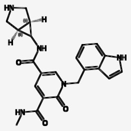 CNC(=O)c1cc(C(=O)NC2[C@H]3CNC[C@@H]23)cn(Cc2cccc3[nH]ccc23)c1=O